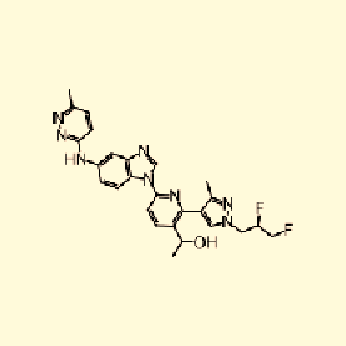 Cc1ccc(Nc2ccc3c(c2)ncn3-c2ccc(C(C)O)c(-c3cn(CC(F)CF)nc3C)n2)nn1